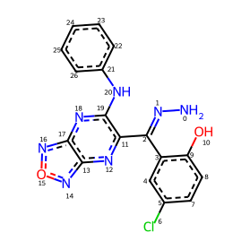 NN=C(c1cc(Cl)ccc1O)c1nc2nonc2nc1Nc1ccccc1